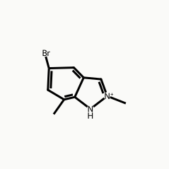 Cc1cc(Br)cc2c[n+](C)[nH]c12